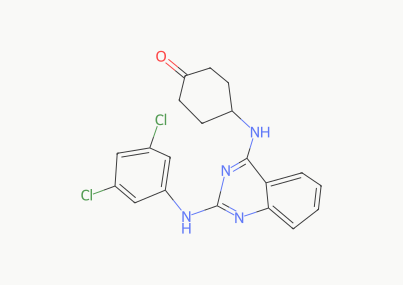 O=C1CCC(Nc2nc(Nc3cc(Cl)cc(Cl)c3)nc3ccccc23)CC1